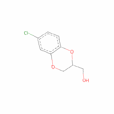 OCC1COc2cc(Cl)ccc2O1